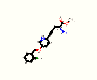 COC(=O)[C@@H](N)CC#Cc1ccc(OCc2ccccc2F)cn1